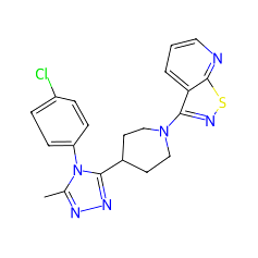 Cc1nnc(C2CCN(c3nsc4ncccc34)CC2)n1-c1ccc(Cl)cc1